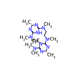 C[C@@H]1N=C(N(C)C)N(C)C(N(C)CCN(C)C2=N[C@@H](C)N=C(N(C)C)N2)=N1